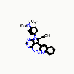 C#Cc1c(-c2cnc3ccccc3c2)c2c(N)ncnc2n1C12CCC(N(C(=O)O)C(C)(C)C)(CC1)C2